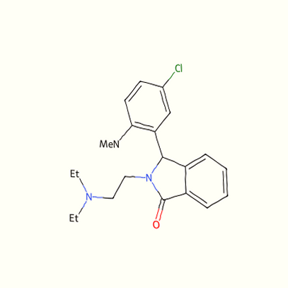 CCN(CC)CCN1C(=O)c2ccccc2C1c1cc(Cl)ccc1NC